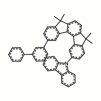 CC1(C)c2ccc(-c3cccc(-c4ccccc4)c3)cc2-c2c1ccc1c2-c2cc(-n3c4ccccc4c4ccccc43)ccc2C1(C)C